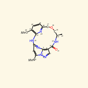 CNc1cc2nc3c(cnn13)C(=O)N[C@H](C)COCc1ccc(OC)c(n1)N2